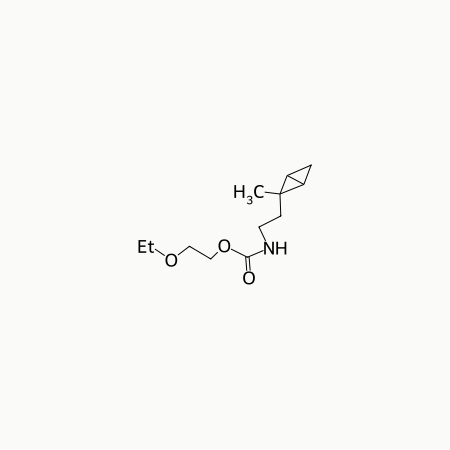 CCOCCOC(=O)NCCC1(C)C2CC21